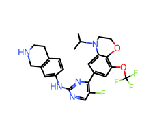 CC(C)N1CCOc2c(OC(F)(F)F)cc(-c3nc(Nc4ccc5c(c4)CNCC5)ncc3F)cc21